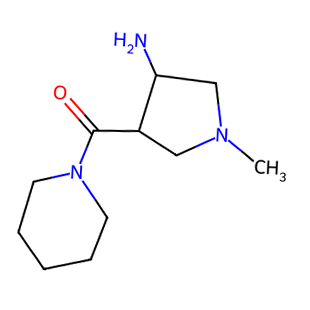 CN1CC(N)C(C(=O)N2CCCCC2)C1